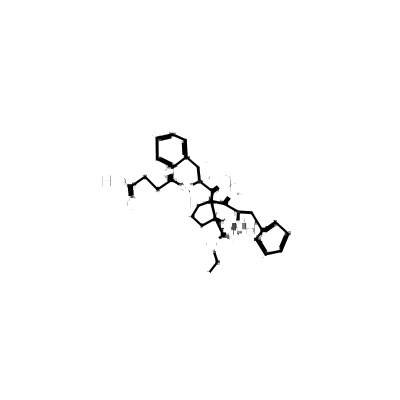 CCOC(=O)C1(N)CCCC1(C(=O)C(N)Cc1ccccc1)C(=O)C(Cc1ccccc1)NC(=O)CCC(=O)O